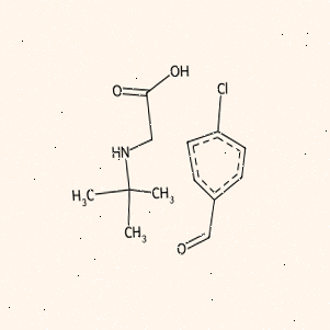 CC(C)(C)NCC(=O)O.O=Cc1ccc(Cl)cc1